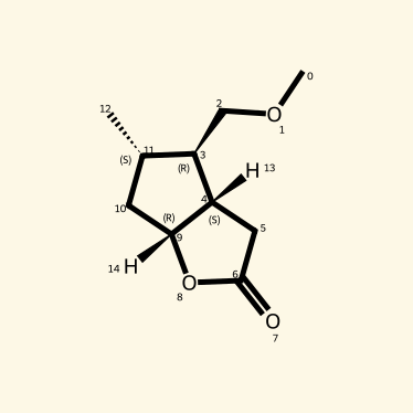 COC[C@H]1[C@@H]2CC(=O)O[C@@H]2C[C@@H]1C